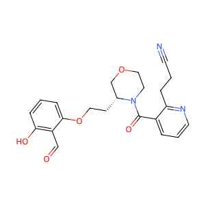 N#CCCc1ncccc1C(=O)N1CCOC[C@H]1CCOc1cccc(O)c1C=O